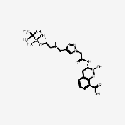 CC(C)(C)[Si](C)(C)OCCNCc1cn(CC(=O)N[C@H]2Cc3cccc(C(=O)O)c3OB2O)nn1